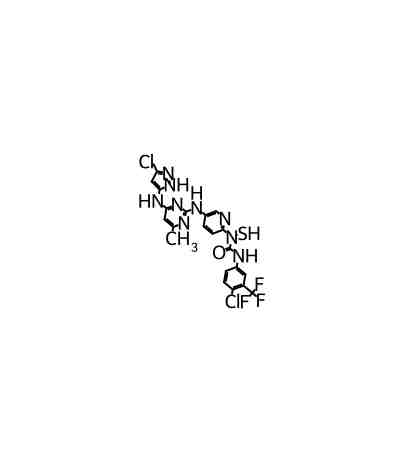 Cc1cc(Nc2cc(Cl)n[nH]2)nc(Nc2ccc(N(S)C(=O)Nc3ccc(Cl)c(C(F)(F)F)c3)nc2)n1